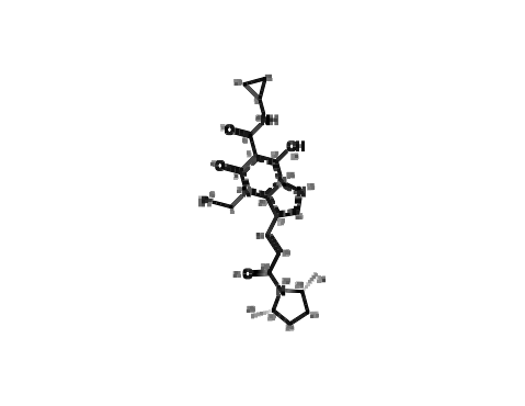 CC(C)Cn1c(=O)c(C(=O)NC2CC2)c(O)n2ncc(/C=C/C(=O)N3[C@H](C)CC[C@@H]3C)c12